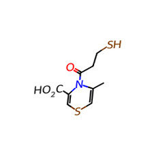 CC1=CSC=C(C(=O)O)N1C(=O)CCS